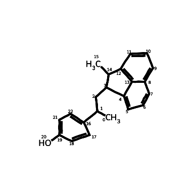 CC(CC1c2cccc3cccc(c23)C1C)c1ccc(O)cc1